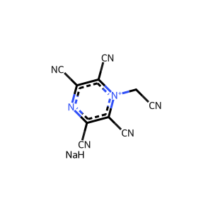 N#CC[n+]1c(C#N)c(C#N)nc(C#N)c1C#N.[NaH]